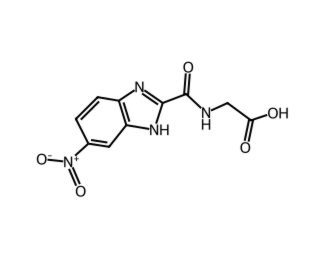 O=C(O)CNC(=O)c1nc2ccc([N+](=O)[O-])cc2[nH]1